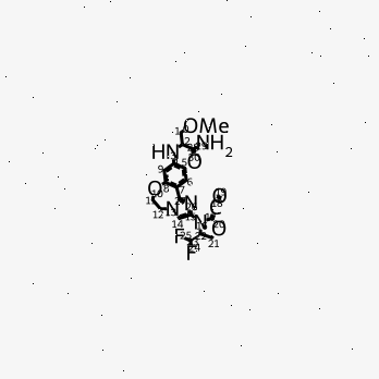 COCC(Nc1ccc2c(c1)OCCn1cc(N3C(=C=O)OC[C@H]3C(F)F)nc1-2)C(N)=O